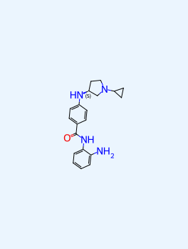 Nc1ccccc1NC(=O)c1ccc(N[C@H]2CCN(C3CC3)C2)cc1